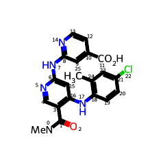 CNC(=O)c1cnc(Nc2cc(C(=O)O)ccn2)cc1Nc1ccc(Cl)cc1C